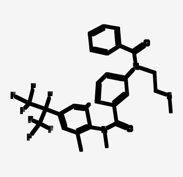 CSCCN(C(=O)c1ccccc1)c1cccc(C(=O)N(C)c2c(C)cc(C(F)(C(F)(F)F)C(F)(F)F)cc2C)c1